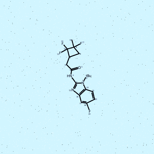 CC(C)(C)n1c(NC(=O)CC2CC(C)(F)C2(F)F)nc2cc(F)ccc21